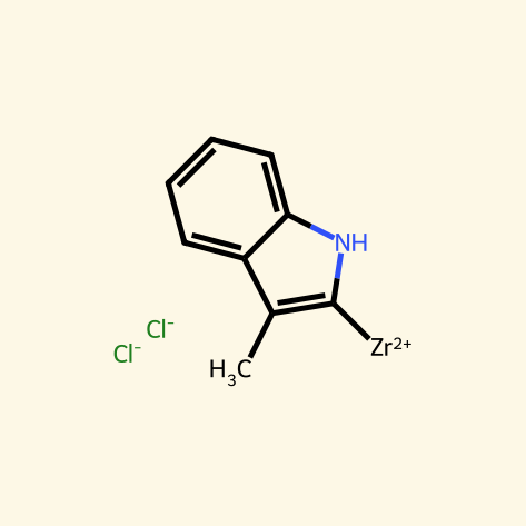 Cc1[c]([Zr+2])[nH]c2ccccc12.[Cl-].[Cl-]